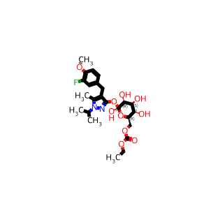 CCOC(=O)OC[C@H]1O[C@@](O)(Oc2nn(C(C)C)c(C)c2Cc2ccc(OC)c(F)c2)[C@H](O)[C@@H](O)[C@@H]1O